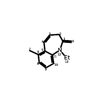 C=C1CC=Cc2c(C)cccc2N1CC